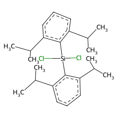 CC(C)c1cccc(C(C)C)c1[Si](Cl)(Cl)c1c(C(C)C)cccc1C(C)C